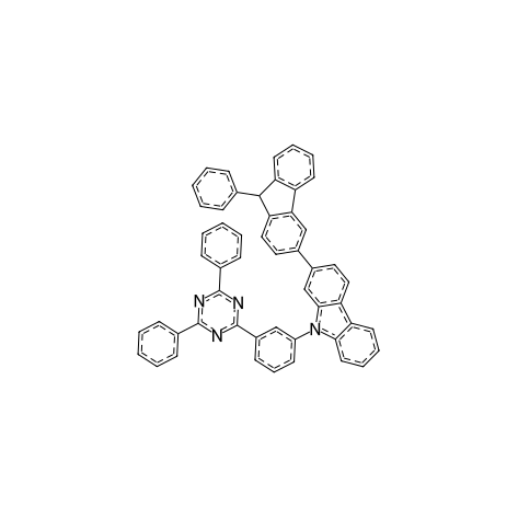 c1ccc(-c2nc(-c3ccccc3)nc(-c3cccc(-n4c5ccccc5c5ccc(-c6ccc7c(c6)-c6ccccc6C7c6ccccc6)cc54)c3)n2)cc1